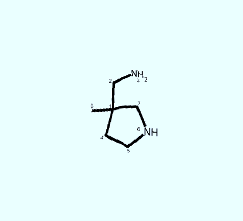 CC1(CN)CCNC1